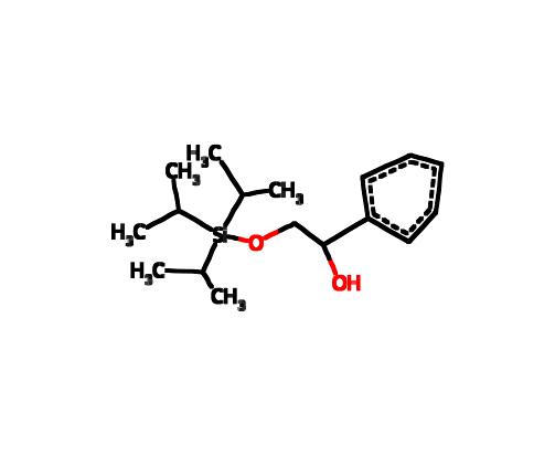 CC(C)[Si](OCC(O)c1ccccc1)(C(C)C)C(C)C